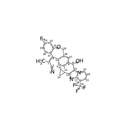 CC(C#N)=C1c2ccc(C(O)c3c(C4CC4)nc4c(C(F)(F)F)cccn34)cc2COc2cc(F)ccc21